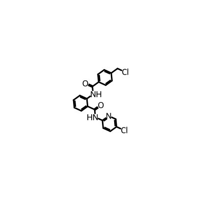 O=C(Nc1ccccc1C(=O)Nc1ccc(Cl)cn1)c1ccc(CCl)cc1